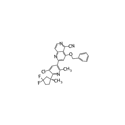 Cc1nc([C@]2(C)CCC(F)(F)C2)c(Cl)cc1-c1cc(OCc2ccccc2)c2c(C#N)nccc2n1